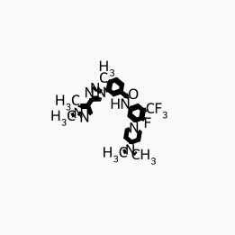 Cc1ccc(C(=O)Nc2cc(N3CCC(N(C)C)CC3)c(F)c(C(F)(F)F)c2)cc1-n1cc(-c2cnn(C)c2C)nn1